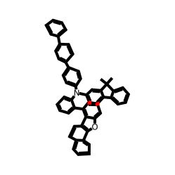 CC1(C)c2ccccc2-c2ccc(N(c3ccc(-c4ccc(-c5ccccc5)cc4)cc3)c3ccccc3-c3cccc4oc5c6ccccc6ccc5c34)cc21